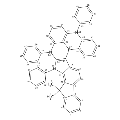 CC1(C)c2ccccc2-c2ccc3c4c(n(-c5ccccc5)c3c21)N(c1ccccc1)c1cccc2c1P4c1ccccc1N2c1ccccc1